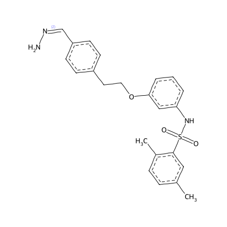 Cc1ccc(C)c(S(=O)(=O)Nc2cccc(OCCc3ccc(/C=N\N)cc3)c2)c1